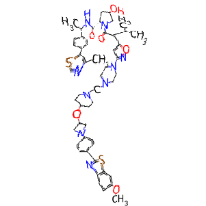 COc1ccc2nc(-c3ccc(N4CC(OC5CCN(CCN6CCN(c7cc(C(C(=O)N8C[C@H](O)C[C@H]8C(=O)N[C@@H](C)c8ccc(-c9scnc9C)cc8)C(C)C)on7)CC6)CC5)C4)cc3)sc2c1